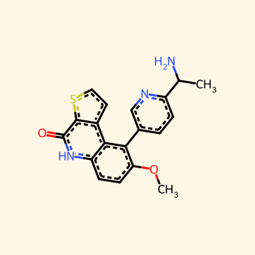 COc1ccc2[nH]c(=O)c3sccc3c2c1-c1ccc(C(C)N)nc1